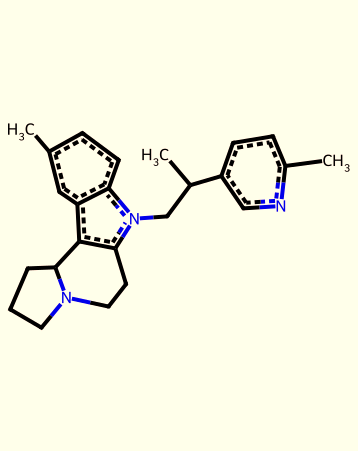 Cc1ccc2c(c1)c1c(n2CC(C)c2ccc(C)nc2)CCN2CCCC12